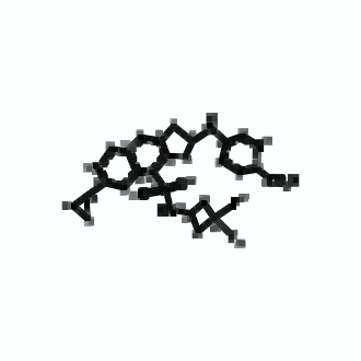 O=C(O)c1ccc(NC2Cc3cc4cnc(C5CC5)cc4c(S(=O)(=O)NC4CC(F)(F)C4)c3C2)cn1